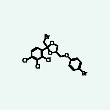 Clc1ccc(C2(CBr)OCC(COc3ccc(Br)cc3)O2)c(Cl)c1Cl